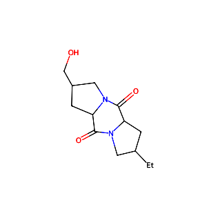 CCC1CC2C(=O)N3CC(CO)CC3C(=O)N2C1